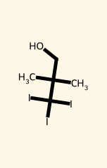 CC(C)(CO)C(I)(I)I